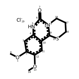 COc1cc2[nH]c(=O)[n+]3c(c2cc1OC)SCCC3.[Cl-]